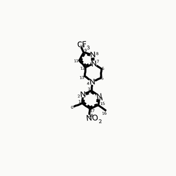 Cc1nc(N2CCn3nc(C(F)(F)F)cc3C2)nc(C)c1[N+](=O)[O-]